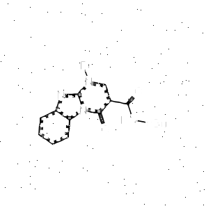 CCCCNC(=O)c1cn(CC)c2nc3ccccc3n2c1=O